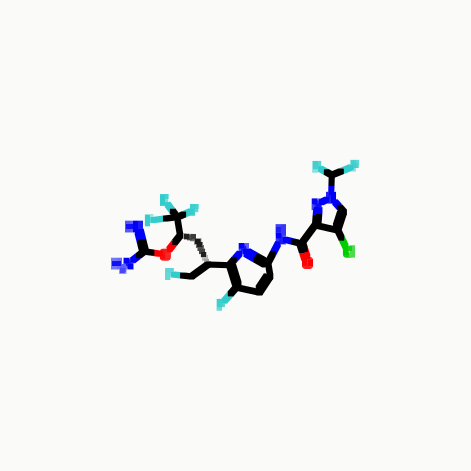 N=C(N)O[C@@H](C[C@@H](CF)c1nc(NC(=O)c2nn(C(F)F)cc2Cl)ccc1F)C(F)(F)F